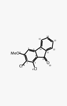 COc1cc2c(c(Cl)c1Cl)C(=O)c1ccccc1-2